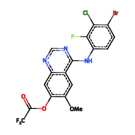 COc1cc2c(Nc3ccc(Br)c(Cl)c3F)ncnc2cc1OC(=O)C(F)(F)F